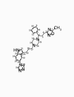 Cc1nc(CCC(c2ccccc2)N2CCN(CCCc3c[nH]c4ccc(-n5cnnc5)cc34)CC2)no1